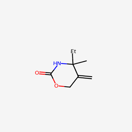 C=C1COC(=O)NC1(C)CC